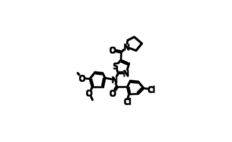 COc1ccc(N(C(=O)c2ccc(Cl)cc2Cl)c2ncc(C(=O)N3CCCC3)s2)cc1OC